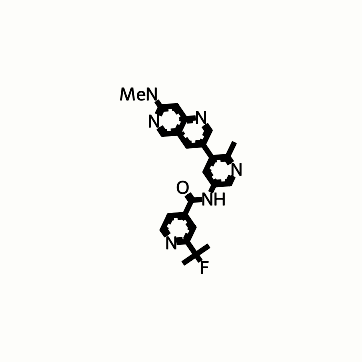 CNc1cc2ncc(-c3cc(NC(=O)c4ccnc(C(C)(C)F)c4)cnc3C)cc2cn1